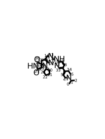 CC(C)N1CC=C(c2ccc(Nc3ncc4c(n3)N(C3CCCC3)C3(CC(=O)NC3=O)C4)nc2)CC1